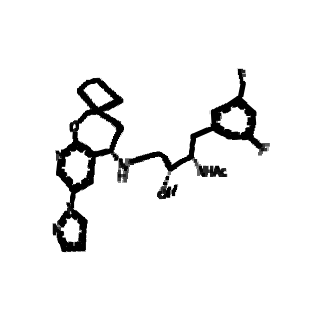 CC(=O)N[C@@H](Cc1cc(F)cc(F)c1)[C@H](O)CN[C@H]1CC2(CCC2)Oc2ncc(-n3cccn3)cc21